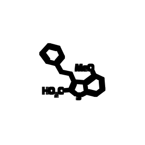 COc1cccc2sc(C(=O)O)c(CCc3ccccc3)c12